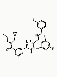 CCCN(CC1CC1)C(=O)c1cc(C)cc(C(=O)N[C@@H](Cc2cc(F)cc(F)c2)[C@H](O)CNCc2cccc(CC)c2)c1